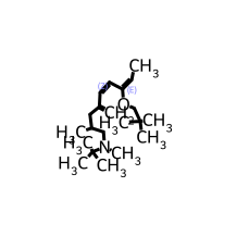 C=C(/C=C\C(=C/C)OCC(C)(C)C)CC(C)CN(C)C(C)(C)C